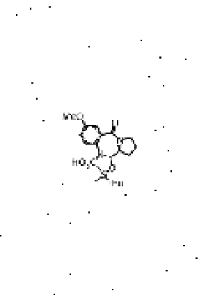 COc1ccc2c(c1)C(=O)N1CCCC1C(O[Si](C)(C)C(C)(C)C)N2C(=O)O